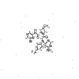 C[C@H]1C[C@@H](C(=O)Nc2cncc(Br)n2)N(C(=O)Cn2c3ccc(C(F)(F)F)cc3c3c(N)ncnc32)C1